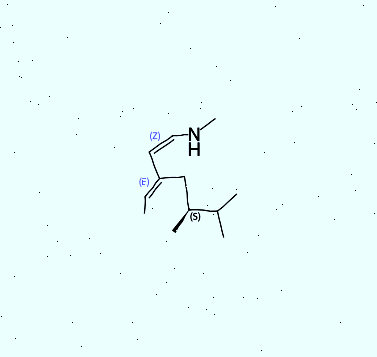 C/C=C(/C=C\NC)C[C@H](C)C(C)C